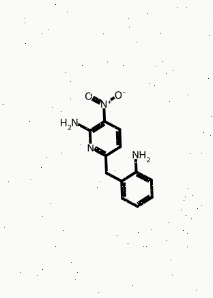 Nc1ccccc1Cc1ccc([N+](=O)[O-])c(N)n1